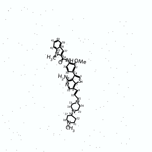 COc1cc(-c2csc3c(/C=C/CN4CCN(C5CCN(C)CC5)CC4)cnc(N)c23)ccc1NC(=O)c1cc2ccccc2n1C